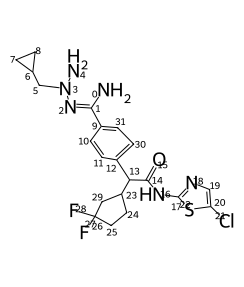 N/C(=N\N(N)CC1CC1)c1ccc(C(C(=O)Nc2ncc(Cl)s2)C2CCC(F)(F)C2)cc1